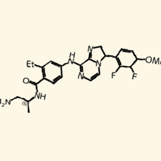 CCc1cc(NC2=NC=CN3C2=NCC3C2=C(F)C(F)C(OC)C=C2)ccc1C(=O)N[C@@H](C)CN